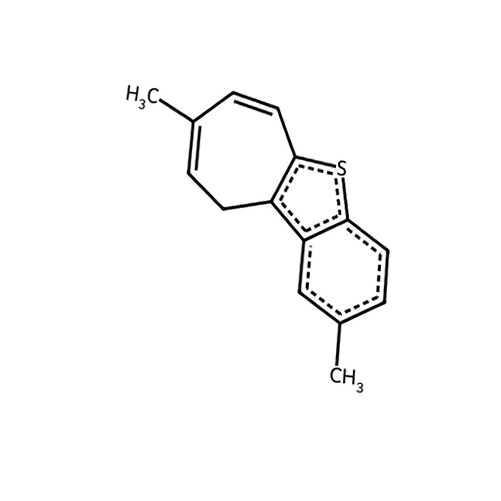 CC1=CCc2c(sc3ccc(C)cc23)C=C1